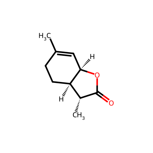 CC1=C[C@H]2OC(=O)[C@H](C)[C@H]2CC1